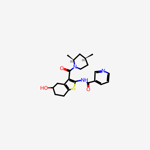 C[C@H]1CCN(C(=O)c2c(NC(=O)c3cccnc3)sc3c2CC(O)CC3)[C@@H](C)C1